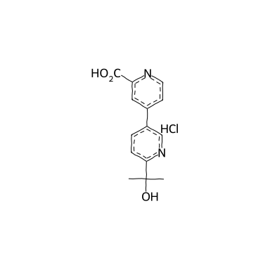 CC(C)(O)c1ccc(-c2ccnc(C(=O)O)c2)cn1.Cl